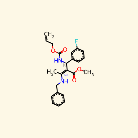 C=CCOC(=O)N[C@H](/C(C(=O)OC)=C(\C)NCc1ccccc1)c1cccc(F)c1